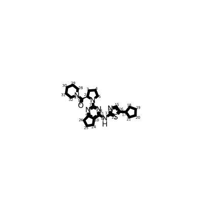 O=C([C@H]1CCCN1c1nc2c(c(Nc3ncc(C4CCCC4)s3)n1)CCC2)N1CCCCC1